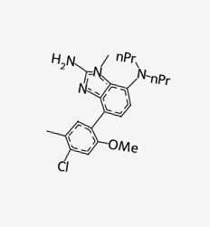 CCCN(CCC)c1ccc(-c2cc(C)c(Cl)cc2OC)c2nc(N)n(C)c12